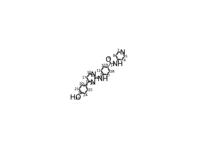 O=C(Nc1ccncc1)c1ccc(Nc2nccc(-c3ccc(O)cc3)n2)cc1